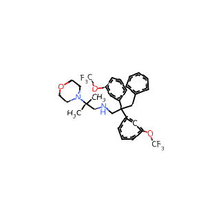 CC(C)(CNCC(Cc1ccccc1)(c1cccc(OC(F)(F)F)c1)c1cccc(OC(F)(F)F)c1)N1CCOCC1